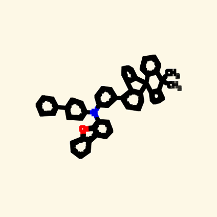 CC1(C)c2ccccc2C2(c3ccccc3-c3c(-c4cccc(N(c5ccc(-c6ccccc6)cc5)c5cccc6c5oc5ccccc56)c4)cccc32)c2ccccc21